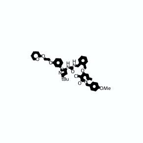 COc1ccc(Cn2c(C)cc(OCc3ccccc3CNC(=O)Nc3cc(C(C)(C)C)nn3-c3cccc(OCCOC4CCCCO4)c3)c(Cl)c2=O)cc1